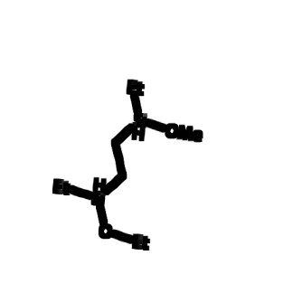 CCO[SiH](CC)CC[SiH](CC)OC